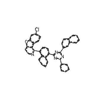 Clc1ccc2c(c1)oc1ccnc(-c3ccc(-c4nc(-c5ccccc5)nc(-c5ccc6ccccc6c5)n4)c4ccccc34)c12